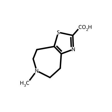 CN1CCc2nc(C(=O)O)sc2CC1